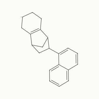 [CH]1CCC2=C(C1)C1CC2C(c2cccc3ccccc23)C1